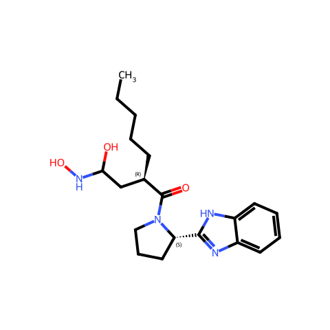 CCCCC[C@H](CC(O)NO)C(=O)N1CCC[C@H]1c1nc2ccccc2[nH]1